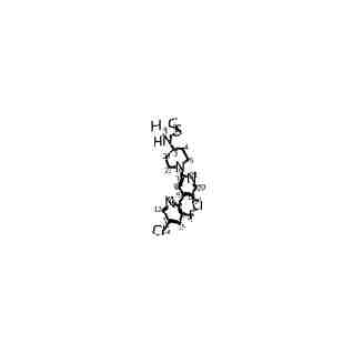 CSNC1CCN(c2cc(-c3ncc(Cl)cc3F)c(Cl)cn2)CC1